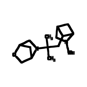 CC(C)(C)N1CC2CC1C2CC(C)(C)N1CC2CC1CO2